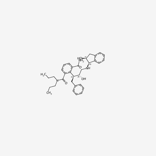 CCCN(CCC)C(=O)c1cccc(C(N)=O)c1[C@H](Cc1ccccc1)[C@@H](O)CN[C@@H]1c2ccccc2C[C@@H]1O